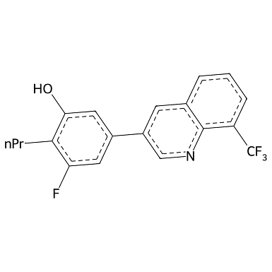 CCCc1c(O)cc(-c2cnc3c(C(F)(F)F)cccc3c2)cc1F